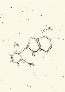 CCCCCOc1cccc(NC(=O)c2c(C)ccnc2N)c1F